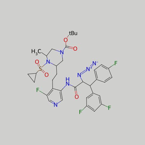 CC1CN(C(=O)OC(C)(C)C)CC(CCc2c(F)cncc2NC(=O)C(N=[N+]=[N-])C(c2ccc(F)cc2)c2cc(F)cc(F)c2)N1S(=O)(=O)C1CC1